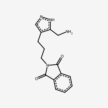 NCc1[nH]ncc1CCCN1C(=O)c2ccccc2C1=O